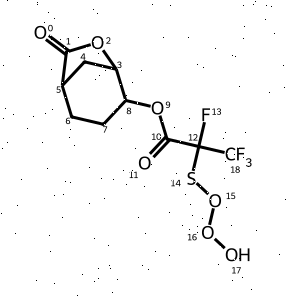 O=C1OC2CC1CCC2OC(=O)C(F)(SOOO)C(F)(F)F